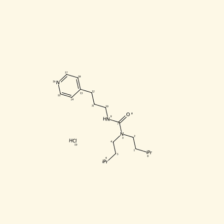 CC(C)CCN(CCC(C)C)C(=O)NCCCc1ccncc1.Cl